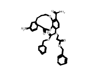 NC(=O)c1ccc([C@H](CCC(=O)OCc2ccccc2)C(=O)OCc2ccccc2)c2c1OCCCc1cc(N)ccc1C(=O)O2